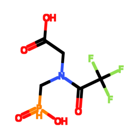 O=C(O)CN(C[PH](=O)O)C(=O)C(F)(F)F